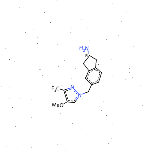 COc1cn(Cc2ccc3c(c2)C[C@H](N)C3)nc1C(F)(F)F